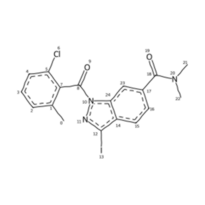 Cc1cccc(Cl)c1C(=O)n1nc(I)c2ccc(C(=O)N(C)C)cc21